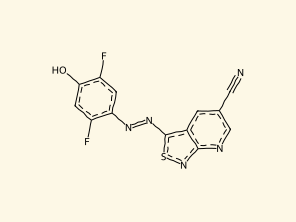 N#Cc1cnc2nsc(/N=N/c3cc(F)c(O)cc3F)c2c1